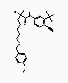 COc1ccc(COCCCCCC(C)(O)C(=O)Nc2ccc(C#N)c(C(F)(F)F)c2)cc1